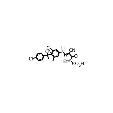 CCN(C(=O)O)C(=O)/C(C#N)=N/Nc1cc(C)c(C(C)(C#N)c2ccc(Cl)cc2)c(Cl)c1